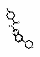 CN1CCC(C(=O)Nc2nc3ccc(N4CCOCC4)cc3s2)CC1